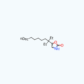 CCCCCCCCCCCCCCCC(CC)(CC)c1c[nH]c(=O)o1